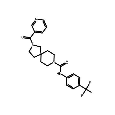 O=C(Nc1ccc(C(F)(F)F)cc1)N1CCC2(CC1)CCN(C(=O)c1cccnc1)C2